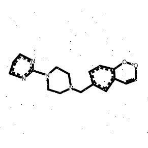 C1=Cc2cc(CN3CCN(c4ncccn4)CC3)ccc2OO1